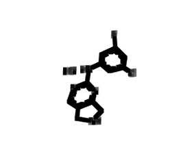 Cl.Fc1cc(Cl)cc(Nc2ncc3c(n2)CNC3)c1